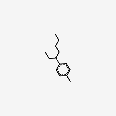 CCCCN(CC)c1ccc(C)cc1